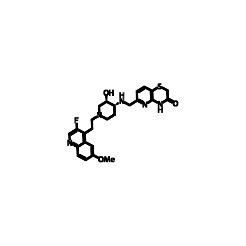 COc1ccc2ncc(F)c(CCN3CC[C@@H](NCc4ccc5c(n4)NC(=O)CS5)[C@H](O)C3)c2c1